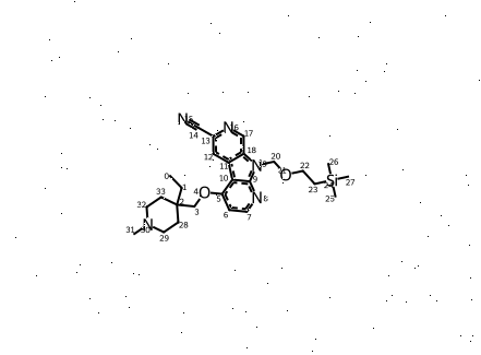 CCC1(COc2ccnc3c2c2cc(C#N)ncc2n3COCC[Si](C)(C)C)CCN(C)CC1